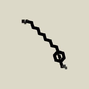 CCCCCCCCCCC12CCC(C)(CC1)CC2